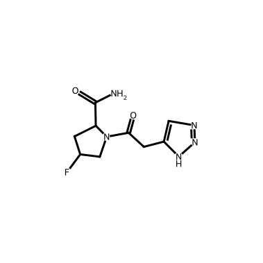 NC(=O)C1CC(F)CN1C(=O)Cc1cnn[nH]1